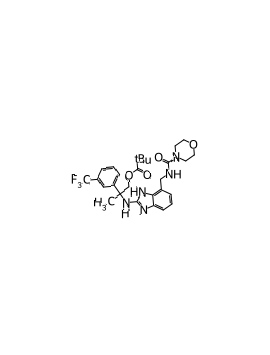 CC(C)(C)C(=O)OCC(C)(Nc1nc2cccc(CNC(=O)N3CCOCC3)c2[nH]1)c1cccc(C(F)(F)F)c1